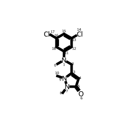 CN(Cc1cc(=O)n(C)n1C)c1cc(Cl)cc(Cl)c1